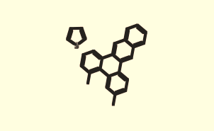 Cc1ccc2c3cc4ccccc4cc3c3cccc(C)c3c2c1.c1ccsc1